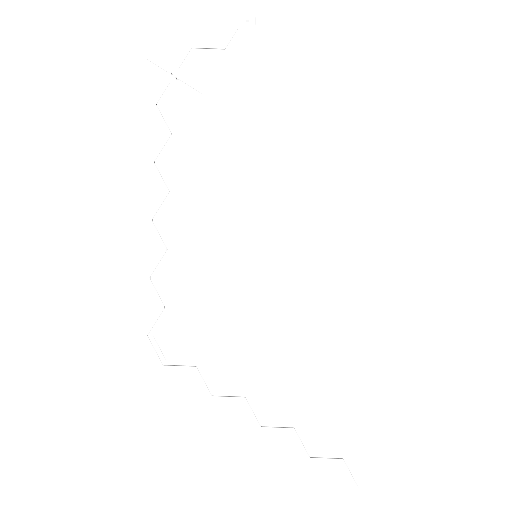 CCCCCCCC/C=C\CCCCCCCC[N+](C)(C)CCO